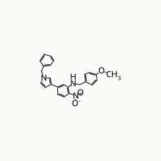 COc1ccc(CNc2cc(-c3ccn(Cc4ccccc4)c3)ccc2[N+](=O)[O-])cc1